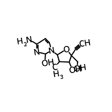 C#CC1(CO)OC(N2C=CC(N)=NC2O)C(C)C1O